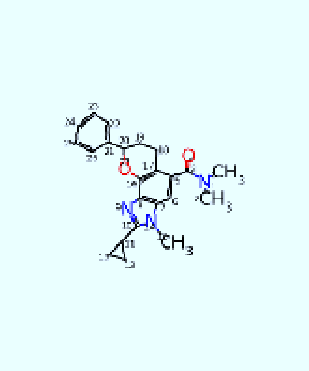 CN(C)C(=O)c1cc2c(nc(C3CC3)n2C)c2c1CCC(c1ccccc1)O2